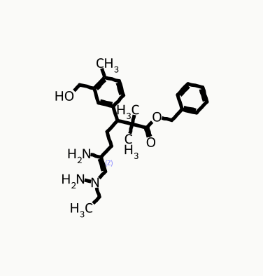 CCN(N)/C=C(\N)CCC(c1ccc(C)c(CO)c1)C(C)(C)C(=O)OCc1ccccc1